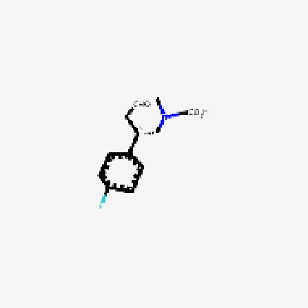 CN(C[C@@H](CC=O)c1ccc(F)cc1)C(=O)O